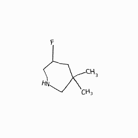 CC1(C)CNCC(F)C1